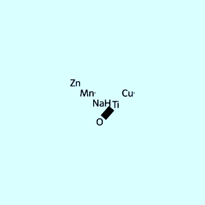 [Cu].[Mn].[NaH].[O]=[Ti].[Zn]